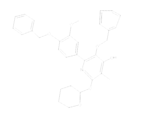 COc1cc(-c2nc(OC3CCCCO3)c(C)c(O)c2OCc2ccccc2)ccc1OCc1ccccc1